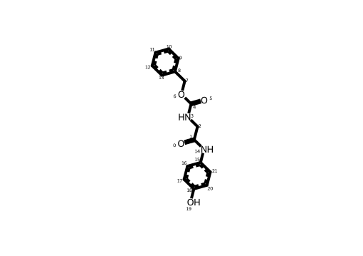 O=C(CNC(=O)OCc1ccccc1)Nc1ccc(O)cc1